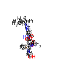 C=C(CCC)C1=C(CN2CCN(c3ccc(C(=O)NS(=O)(=O)c4ccc(N[C@H](CCN5CCC(O)CC5)CSc5ccccc5)c(S(=O)(=O)C(F)(F)F)c4)cc3)CC2)CCC(C)(C)C1